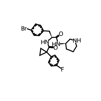 O=C(N[C@@H]1CCCNC1)[C@H](Cc1ccc(Br)cc1)NC(=O)C1(c2ccc(F)cc2)CC1